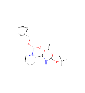 CCOC(NC(=O)OC(C)(C)C)C1CCCCN1C(=O)OCc1ccccc1